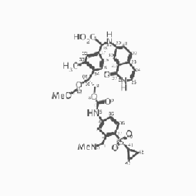 CNCc1cc(NC(=O)OC[C@H](OCOC)c2ccc(C(Nc3ccc4cc[nH]c(=O)c4c3)C(=O)O)cc2C)ccc1S(=O)(=O)C1CC1